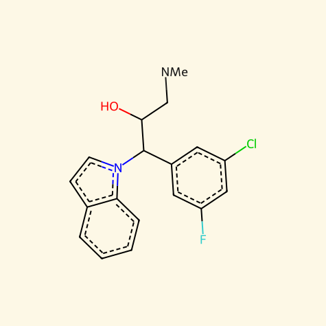 CNCC(O)C(c1cc(F)cc(Cl)c1)n1ccc2ccccc21